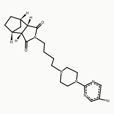 [2H]c1cnc(N2CCN(CCCCN3C(=O)[C@@H]4[C@@H]5CC[C@@H](C5)[C@@H]4C3=O)CC2)nc1